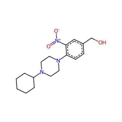 O=[N+]([O-])c1cc(CO)ccc1N1CCN(C2CCCCC2)CC1